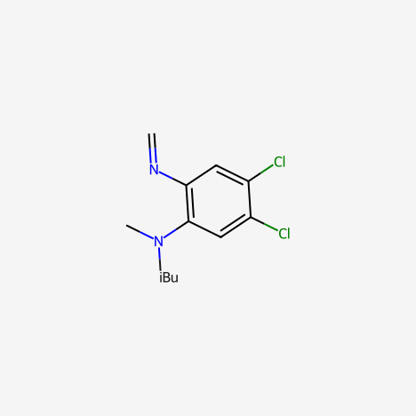 C=Nc1cc(Cl)c(Cl)cc1N(C)C(C)CC